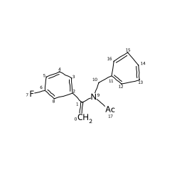 C=C(c1cccc(F)c1)N(Cc1ccccc1)C(C)=O